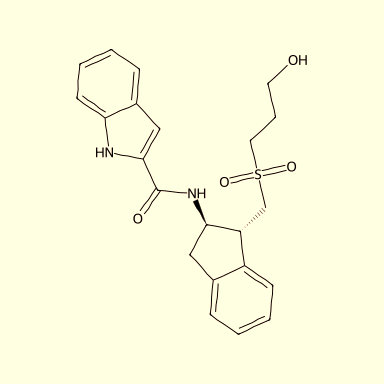 O=C(N[C@@H]1Cc2ccccc2[C@H]1CS(=O)(=O)CCCO)c1cc2ccccc2[nH]1